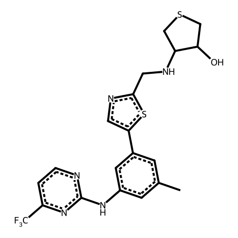 Cc1cc(Nc2nccc(C(F)(F)F)n2)cc(-c2cnc(CNC3CSCC3O)s2)c1